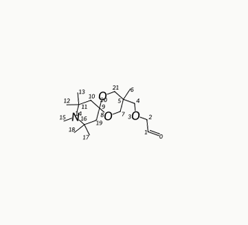 C=CCOCC1(C)COC2(CC(C)(C)N(C)C(C)(C)C2)OC1